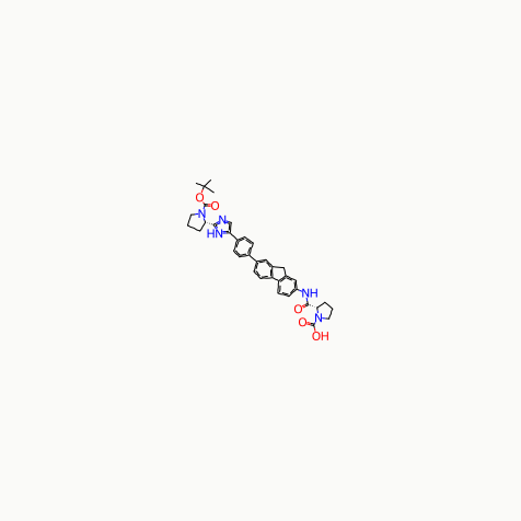 CC(C)(C)OC(=O)N1CCC[C@H]1c1ncc(-c2ccc(-c3ccc4c(c3)Cc3cc(NC(=O)[C@@H]5CCCN5C(=O)O)ccc3-4)cc2)[nH]1